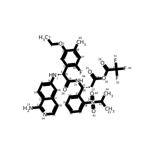 CCOc1cc([C@@H](Nc2ccc3c(N)nccc3c2)C(=O)N[C@H](CC(=O)OC(=O)C(F)(F)F)c2ccccc2S(=O)(=O)C(C)C)c(F)cc1C